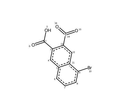 O=C(O)c1cc2cccc(Br)c2cc1I(=O)=O